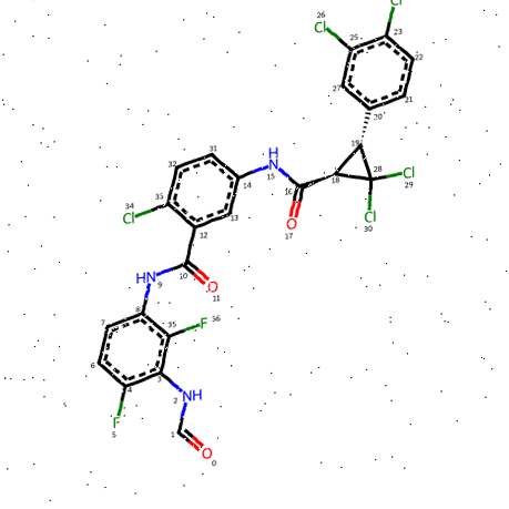 O=CNc1c(F)ccc(NC(=O)c2cc(NC(=O)[C@H]3[C@H](c4ccc(Cl)c(Cl)c4)C3(Cl)Cl)ccc2Cl)c1F